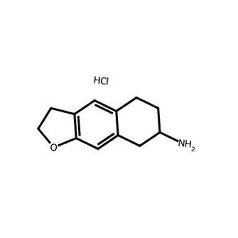 Cl.NC1CCc2cc3c(cc2C1)OCC3